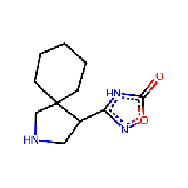 O=c1[nH]c(C2CNCC23CCCCC3)no1